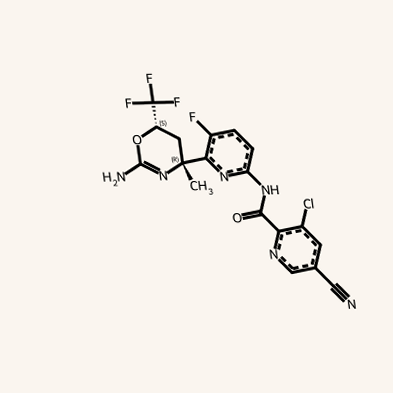 C[C@]1(c2nc(NC(=O)c3ncc(C#N)cc3Cl)ccc2F)C[C@@H](C(F)(F)F)OC(N)=N1